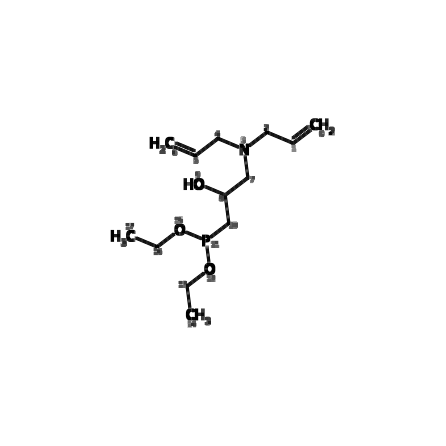 C=CCN(CC=C)CC(O)CP(OCC)OCC